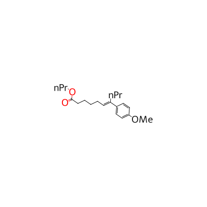 CCCOC(=O)CCCCC=C(CCC)c1ccc(OC)cc1